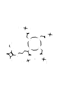 CCOC1=C(NCCCC(C(=O)OC(C)(C)C)N2CCN(CC(=O)OC(C)(C)C)CCN(CC(=O)OC(C)(C)C)CCN(CC(=O)OC(C)(C)C)CC2)C(O)C1=O